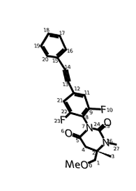 COC[C@]1(C)CC(=O)N(c2c(F)cc(C#Cc3ccccc3)cc2F)C(=O)N1C